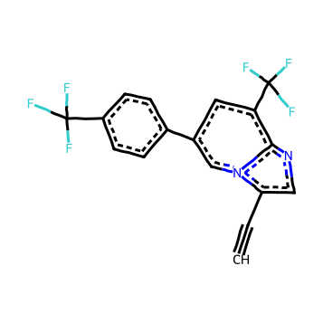 C#Cc1cnc2c(C(F)(F)F)cc(-c3ccc(C(F)(F)F)cc3)cn12